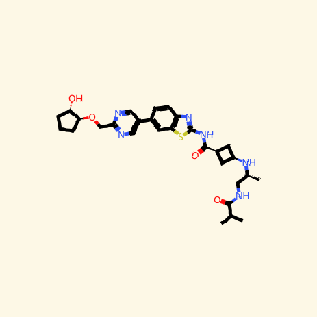 CC(C)C(=O)NC[C@H](C)N[C@H]1C[C@@H](C(=O)Nc2nc3ccc(-c4cnc(CO[C@H]5CCC[C@@H]5O)nc4)cc3s2)C1